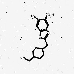 O=C(O)c1cc2nc(CC3CCC(CO)CC3)sc2cc1Br